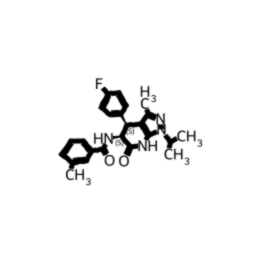 Cc1cccc(C(=O)N[C@@H]2C(=O)Nc3c(c(C)nn3C(C)C)[C@@H]2c2ccc(F)cc2)c1